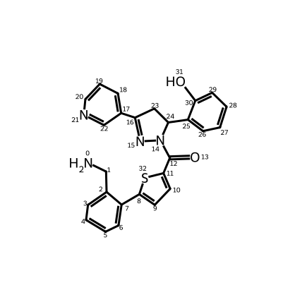 NCc1ccccc1-c1ccc(C(=O)N2N=C(c3cccnc3)CC2c2ccccc2O)s1